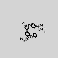 COc1ccc(C2CC(=O)N(Cc3ccc(N(C)C)cc3)C2)cc1OC1CCCC1